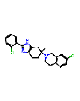 CC1(N2CCc3ccc(Cl)cc3C2)CCc2nc(-c3ccccc3Cl)[nH]c2C1